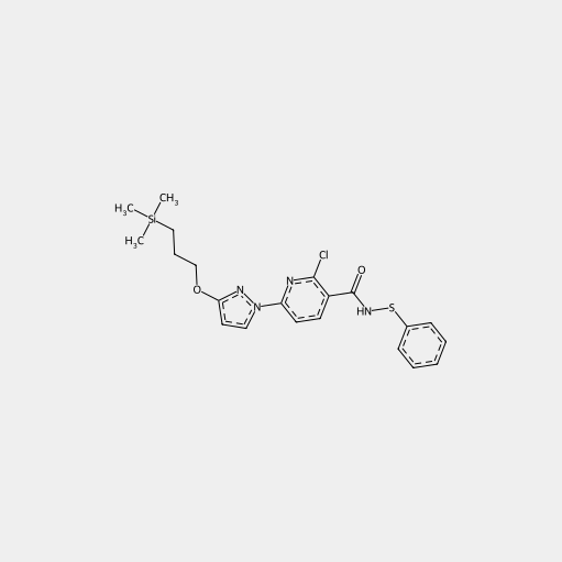 C[Si](C)(C)CCCOc1ccn(-c2ccc(C(=O)NSc3ccccc3)c(Cl)n2)n1